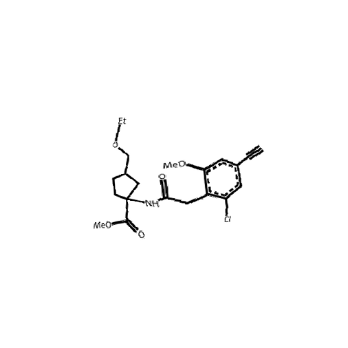 C#Cc1cc(Cl)c(CC(=O)NC2(C(=O)OC)CCC(COCC)C2)c(OC)c1